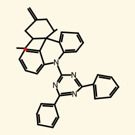 C=C1CC(C)C2(c3ccccc3N(c3nc(-c4ccccc4)nc(-c4ccccc4)n3)c3ccccc32)C(CC)C1